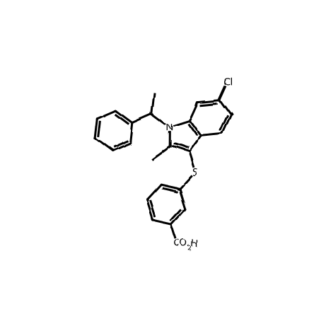 Cc1c(Sc2cccc(C(=O)O)c2)c2ccc(Cl)cc2n1C(C)c1ccccc1